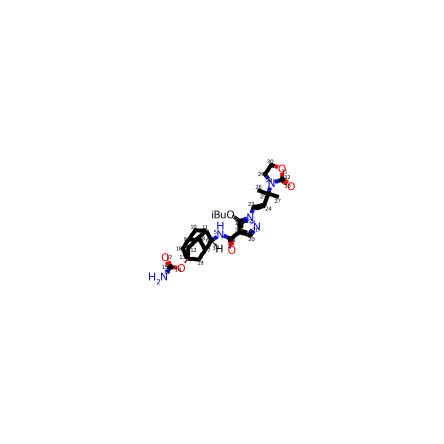 CC(C)COc1c(C(=O)N[C@H]2C3CC4CC2C[C@](OC(N)=O)(C4)C3)cnn1/C=C/C(C)(C)N1CCOC1=O